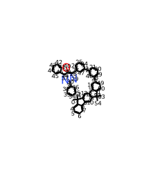 CC1(C)c2ccccc2-c2cc3c(cc21)-c1cc(-c2cccc(-c4cccc(-c5nc(-c6ccccc6)nc6c5oc5ccccc56)c4)c2)ccc1C3(C)C